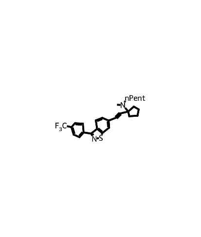 CCCCCN(C)C1(C#Cc2ccc3c(-c4ccc(C(F)(F)F)cc4)nsc3c2)CCCC1